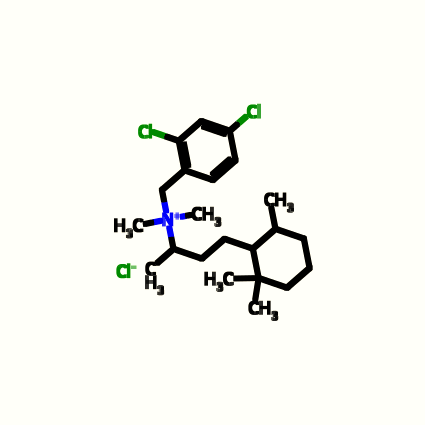 CC1CCCC(C)(C)C1CCC(C)[N+](C)(C)Cc1ccc(Cl)cc1Cl.[Cl-]